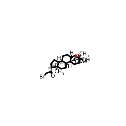 COC(C)[C@]12CC[C@@](C)(O)C[C@H]1CC[C@H]1[C@@H]3CC[C@H](C(=O)CBr)[C@@]3(C)CC[C@@H]12